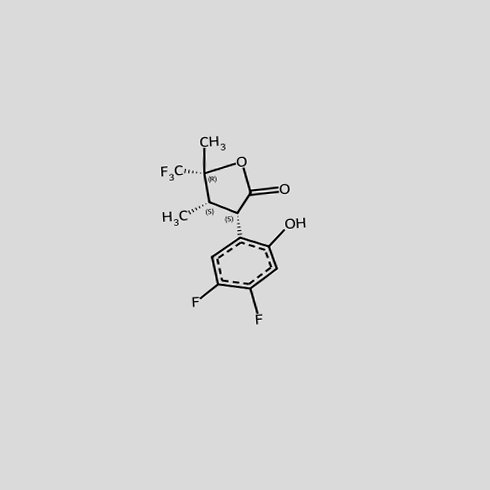 C[C@H]1[C@@H](c2cc(F)c(F)cc2O)C(=O)O[C@@]1(C)C(F)(F)F